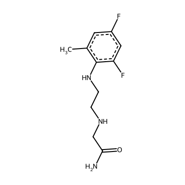 Cc1cc(F)cc(F)c1NCCNCC(N)=O